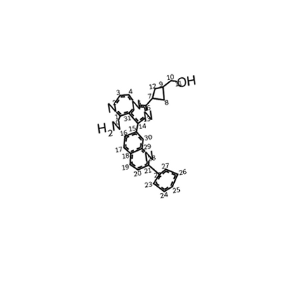 Nc1nccn2c(C3CC(CO)C3)nc(-c3ccc4ccc(-c5ccccc5)nc4c3)c12